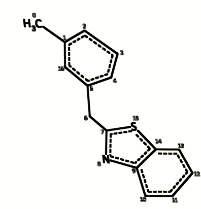 Cc1cccc(Cc2nc3ccccc3s2)c1